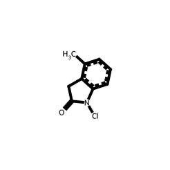 Cc1cccc2c1CC(=O)N2Cl